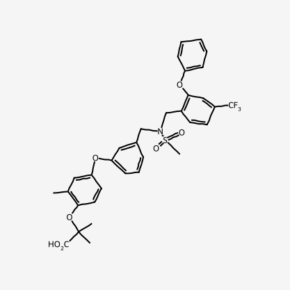 Cc1cc(Oc2cccc(CN(Cc3ccc(C(F)(F)F)cc3Oc3ccccc3)S(C)(=O)=O)c2)ccc1OC(C)(C)C(=O)O